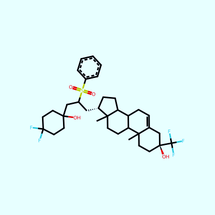 CC12CC[C@@](O)(C(F)(F)F)CC1=CCC1C2CCC2(C)C1CC[C@H]2CC(CC1(O)CCC(F)(F)CC1)S(=O)(=O)c1ccccc1